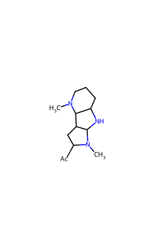 CC(=O)C1CC2C3C(CCCN3C)NC2N1C